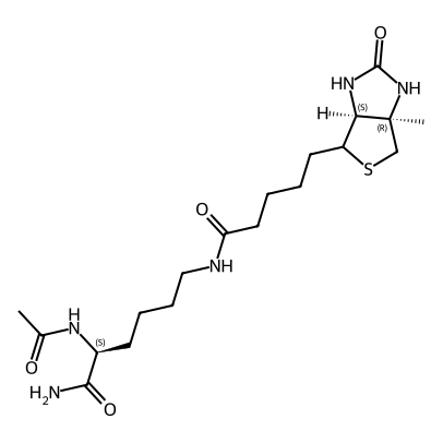 CC(=O)N[C@@H](CCCCNC(=O)CCCCC1SC[C@]2(C)NC(=O)N[C@H]12)C(N)=O